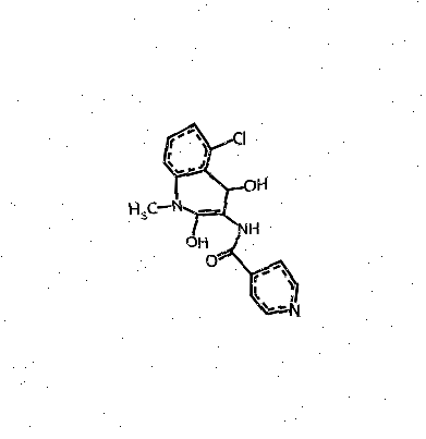 CN1C(O)=C(NC(=O)c2ccncc2)C(O)c2c(Cl)cccc21